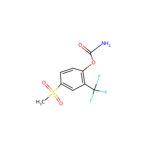 CS(=O)(=O)c1ccc(OC(N)=O)c(C(F)(F)F)c1